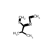 C=C/N=C(\N=C)C(C)C